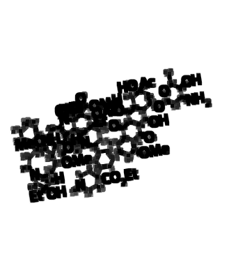 CCOC(=O)C1(c2ccccc2)CCN(C)CC1.CC[C@]1(O)C[C@H]2C[N@](CCc3c([nH]c4ccccc34)[C@@](C(=O)OC)(c3cc4c(cc3OC)N(C=O)[C@H]3[C@@](O)(C(=O)OC)[C@H](OC(C)=O)[C@]5(CC)C=CCN6CC[C@]43[C@@H]65)C2)C1.COc1cccc2c1C(=O)c1c(O)c3c(c(O)c1C2=O)C[C@@](O)(C(C)=O)C[C@@H]3O[C@H]1C[C@H](N)[C@H](O)[C@H](C)O1